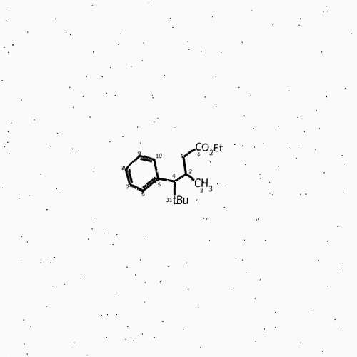 CCOC(=O)CC(C)C(c1ccccc1)C(C)(C)C